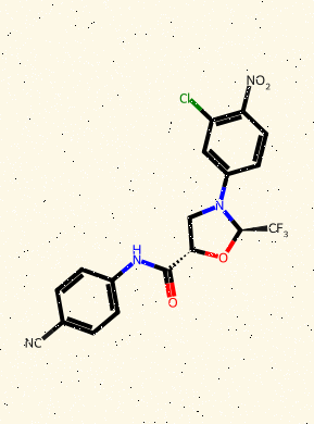 N#Cc1ccc(NC(=O)[C@@H]2CN(c3ccc([N+](=O)[O-])c(Cl)c3)[C@@H](C(F)(F)F)O2)cc1